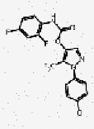 O=C(Nc1ccc(F)cc1F)Oc1cnn(-c2ccc(Cl)cc2)c1C(F)(F)F